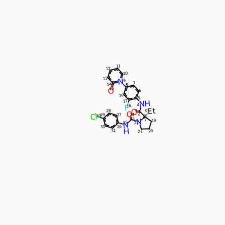 CC[C@]1(C(=O)Nc2ccc(-n3ccccc3=O)cc2F)CCCN1C(=O)Nc1ccc(Cl)cc1